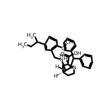 CCC(C)c1ccc(OC)c(CN[C@H]2[C@H]3CCN(C(C(=O)O)C3)[C@H]2C(c2ccccc2)c2ccccc2)c1